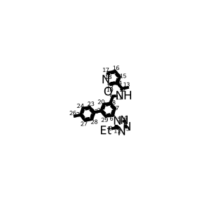 CCc1nnnn1-c1cc(C(=O)NC(C)c2cccnc2)cc(-c2ccc(C)cc2)c1